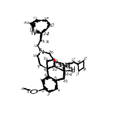 COc1ccc2c(c1)[C@@]13CCN(CCc4ccccn4)CC[C@@]1(O)[C@@H](C2)N(CC1CCC1)CC3